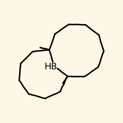 CC12BC(C)(CCCCCCC1)CCCCCC2